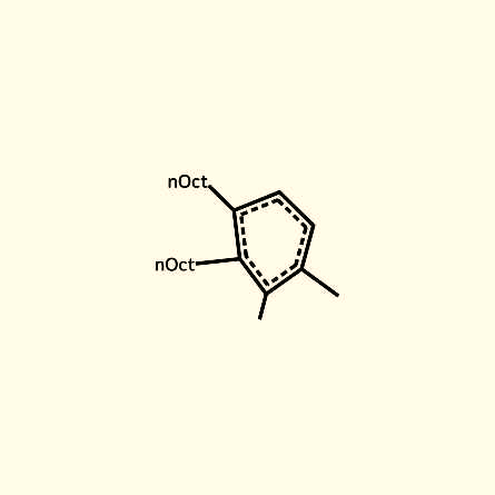 CCCCCCCCc1ccc(C)c(C)c1CCCCCCCC